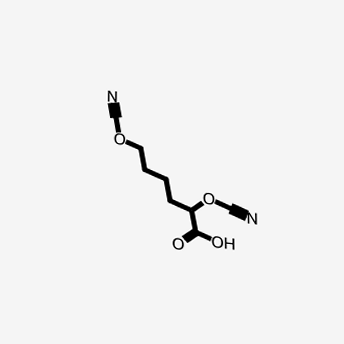 N#COCCCCC(OC#N)C(=O)O